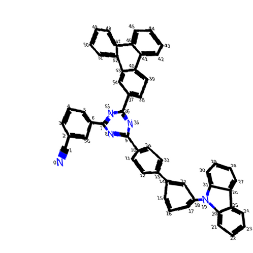 N#Cc1cccc(-c2nc(-c3ccc(-c4cccc(-n5c6ccccc6c6ccccc65)c4)cc3)nc(-c3ccc4c5ccccc5c5ccccc5c4c3)n2)c1